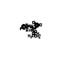 CC(C)(C)OC(=O)NC(CCNc1nc2ccc(F)nc2[nH]1)Cc1cc(Cl)cc(Cl)c1